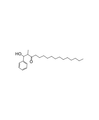 CCCCCCCCCCCCCC(=O)C(C)C(O)c1ccccc1